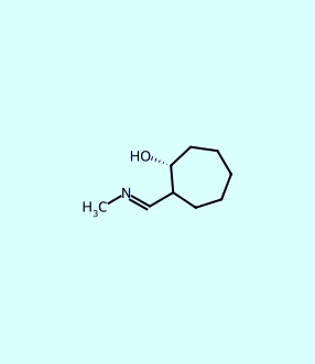 CN=CC1CCCCC[C@H]1O